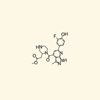 COC(=O)CC1CNCCN1C(=O)c1cc(-c2ccc(O)c(F)c2)nc2[nH]nc(C)c12